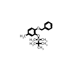 Cc1ccc(OCc2ccccc2)c(O[Si](C)(C)C(C)(C)C)c1